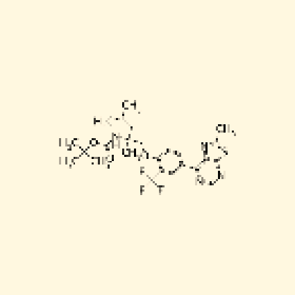 Cc1nc2c(-c3ccc(OCC(C)(CC(C)C)NC(=O)OC(C)(C)C)c(C(F)(F)F)c3)ncnc2s1